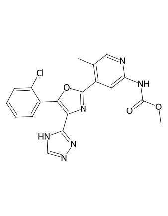 COC(=O)Nc1cc(-c2nc(-c3nnc[nH]3)c(-c3ccccc3Cl)o2)c(C)cn1